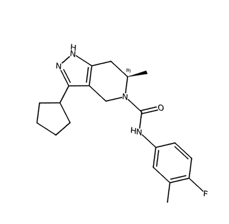 Cc1cc(NC(=O)N2Cc3c(C4CCCC4)n[nH]c3C[C@H]2C)ccc1F